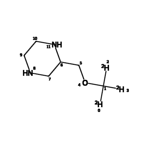 [2H]C([2H])([2H])OCC1CNCCN1